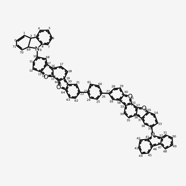 C1=CC2c3ccccc3N(c3ccc4oc5c(ccc6c7cc(-c8ccc(-c9ccc%10oc%11c(ccc%12c%13cc(-n%14c%15ccccc%15c%15ccccc%15%14)ccc%13oc%12%11)c%10c9)cc8)ccc7oc65)c4c3)C2C=C1